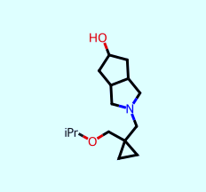 CC(C)OCC1(CN2CC3CC(O)CC3C2)CC1